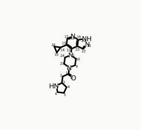 O=C(CC1CCCN1)N1CCN(c2c(C3CC3)cnc3[nH]ncc23)CC1